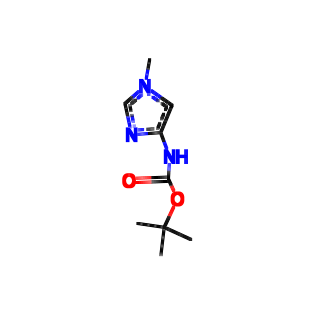 Cn1cnc(NC(=O)OC(C)(C)C)c1